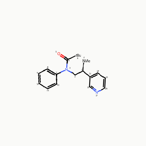 CNC(CN(C(=O)C(C)(C)C)c1ccccc1)c1cccnc1